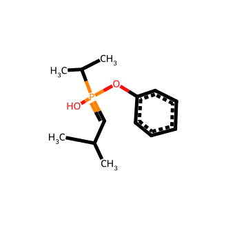 CC(C)C=P(O)(Oc1ccccc1)C(C)C